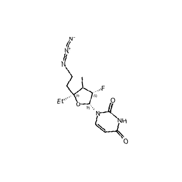 CC[C@@]1(CCN=[N+]=[N-])O[C@@H](n2ccc(=O)[nH]c2=O)[C@@H](F)C1C